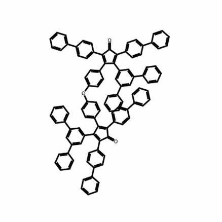 O=C1C(c2ccc(-c3ccccc3)cc2)=C(c2ccc(Oc3ccc(C4=C(c5ccc(-c6ccccc6)cc5)C(=O)C(c5ccc(-c6ccccc6)cc5)=C4c4cc(-c5ccccc5)cc(-c5ccccc5)c4)cc3)cc2)C(c2cc(-c3ccccc3)cc(-c3ccccc3)c2)=C1c1ccc(-c2ccccc2)cc1